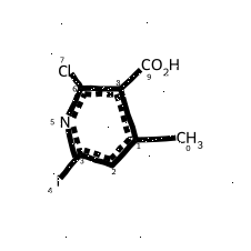 Cc1cc(I)nc(Cl)c1C(=O)O